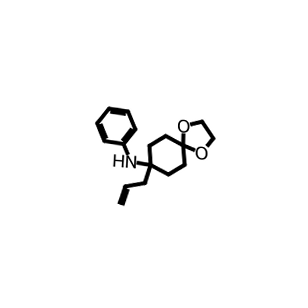 C=CCC1(Nc2ccccc2)CCC2(CC1)OCCO2